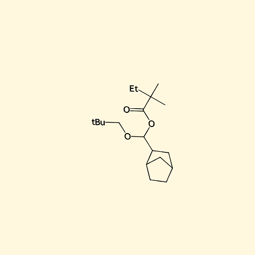 CCC(C)(C)C(=O)OC(OCC(C)(C)C)C1CC2CCC1C2